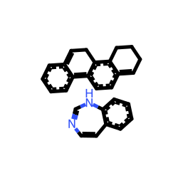 C1=Cc2ccccc2NC=N1.C1=c2ccc3c(c2CCC1)CC=c1ccccc1=3